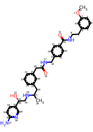 COc1cccc(CCNC(=O)c2ccc(CNC(=O)Cc3cccc(CC(C)NC[C@H](O)c4ccc(N)nc4)c3)cc2)c1